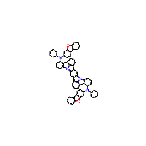 c1ccc(N(c2ccc3c(c2)oc2ccccc23)c2cccc3c2c2cccc4c5cc6c(cc5n3c42)c2cccc3c4c(N(c5ccccc5)c5ccc7c(c5)oc5ccccc57)cccc4n6c23)cc1